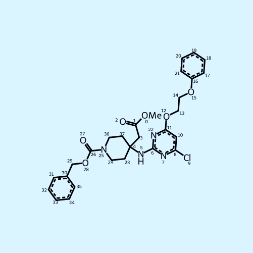 COC(=O)CC1(Nc2nc(Cl)cc(OCCOc3ccccc3)n2)CCN(C(=O)OCc2ccccc2)CC1